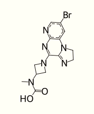 CN(C(=O)O)C1CN(C2=Nc3ncc(Br)cc3N3CCN=C23)C1